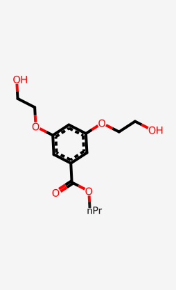 CCCOC(=O)c1cc(OCCO)cc(OCCO)c1